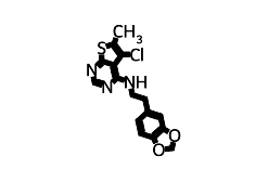 Cc1sc2ncnc(NCCc3ccc4c(c3)OCO4)c2c1Cl